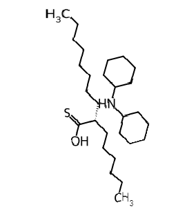 C1CCC(NC2CCCCC2)CC1.CCCCCCCC[C@H](CCCCCC)C(O)=S